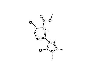 COC(=O)c1cc(-n2nc(C)c(C)c2Cl)ccc1Cl